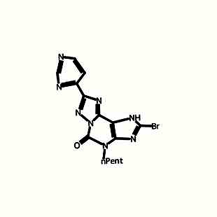 CCCCCn1c(=O)n2nc(-c3ccncn3)nc2c2[nH]c(Br)nc21